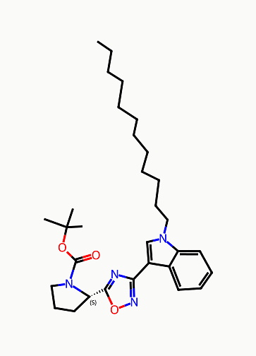 CCCCCCCCCCCCn1cc(-c2noc([C@@H]3CCCN3C(=O)OC(C)(C)C)n2)c2ccccc21